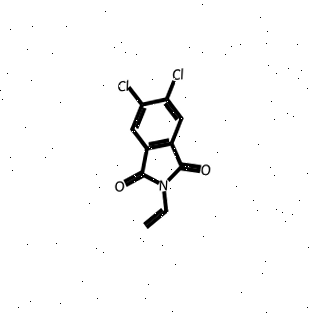 C=CN1C(=O)c2cc(Cl)c(Cl)cc2C1=O